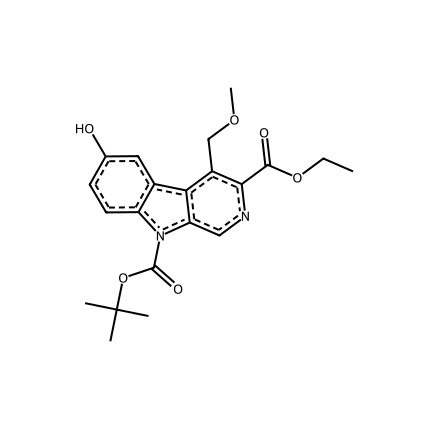 CCOC(=O)c1ncc2c(c1COC)c1cc(O)ccc1n2C(=O)OC(C)(C)C